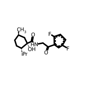 CC(C)[C@@H]1CC[C@@H](C)C[C@@]1(O)C(=O)NCC(=O)c1cc(F)ccc1F